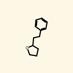 [c]1ccc(CCC2CCCO2)cc1